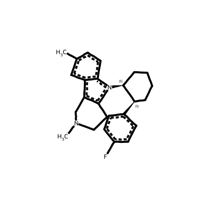 Cc1ccc2c(c1)c1c(n2[C@H]2CCCC[C@H]2c2ccc(F)cc2)CCN(C)C1